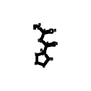 CC(C)C(=O)SC(=S)N1CCCC1